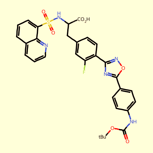 CC(C)(C)OC(=O)Nc1ccc(-c2nc(-c3ccc(CC(NS(=O)(=O)c4cccc5cccnc45)C(=O)O)cc3F)no2)cc1